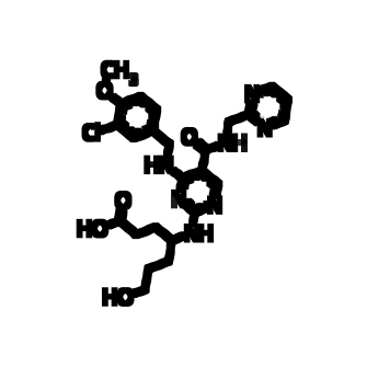 COc1ccc(CNc2nc(NC(CCCO)CCC(=O)O)ncc2C(=O)NCc2ncccn2)cc1Cl